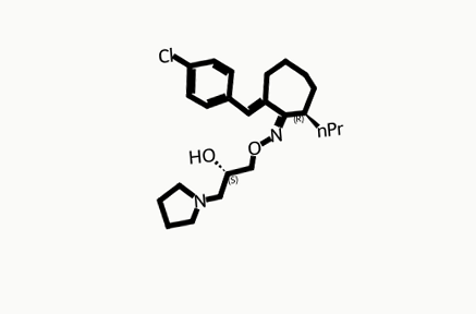 CCC[C@@H]1CCCCC(=Cc2ccc(Cl)cc2)C1=NOC[C@@H](O)CN1CCCC1